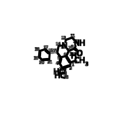 Cc1cccc2c1[C@@H]1C(=O)NCCN1C[C@H]2c1ccccc1.Cl.Cl